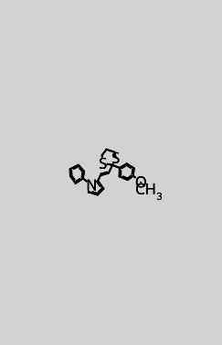 COc1ccc(C2(/C=C/c3cccn3-c3ccccc3)SCCCS2)cc1